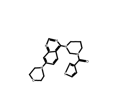 O=C(c1ccsc1)N1CCCN(c2ncnc3cc(N4CCOCC4)ccc23)C1